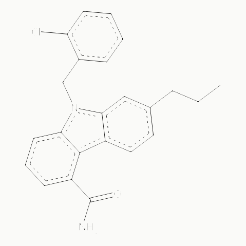 CCCc1c[c]c2c3c(C(N)=O)cccc3n(Cc3ccccc3Cl)c2c1